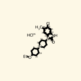 CCOC1CCC(N2CCC(n3c(=O)[nH]c4cc(Cl)c(C)cc43)CC2)CC1.Cl